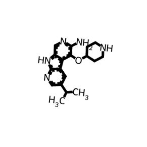 CC(C)c1cnc2[nH]c3cnc(N)c(OC4CCNCC4)c3c2c1